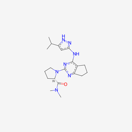 CC(C)c1cc(Nc2nc(N3CCC[C@H]3C(=O)N(C)C)nc3c2CCC3)n[nH]1